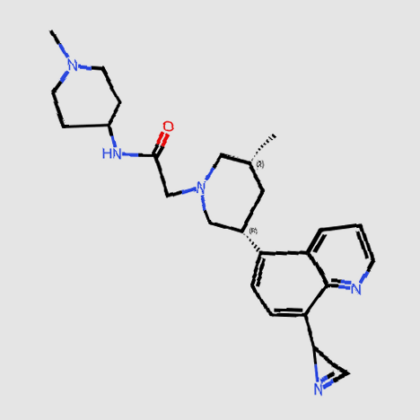 C[C@@H]1C[C@H](c2ccc(C3C=N3)c3ncccc23)CN(CC(=O)NC2CCN(C)CC2)C1